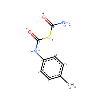 Cc1ccc(NC(=O)SC(N)=O)cc1